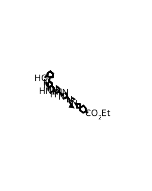 CCOC(=O)C1CCC2(CC1)CC(N1CCN(c3cnc(N4CCN5c6cc(-c7ccccc7O)nnc6NC[C@H]5C4)nc3)CC13CC3)C2